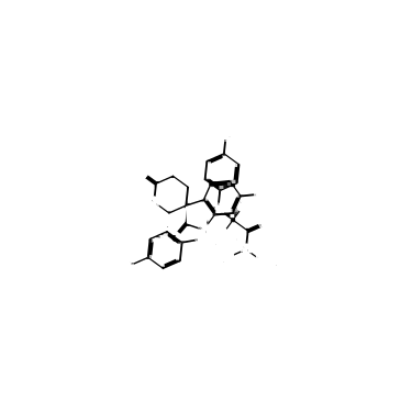 Bc1ccc(OC(C)(C)C(=O)N(C)C)c([C@H]2CC(=O)N[C@@H](c3cc(Cl)ccc3C)[C@]23C(=C)Nc2cc(Cl)ccc23)c1